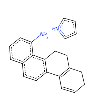 Nc1cccc2ccc3c(c12)CCC1=C3C=CCC1.c1cc[nH]c1